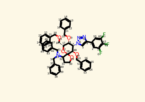 Fc1cc(-c2cn([C@H]3[C@@H](OCc4ccccc4)[C@@H](COCc4ccccc4)O[C@]4(OCCC4N(Cc4ccccc4)Cc4ccccc4)[C@@H]3OCc3ccccc3)nn2)cc(F)c1F